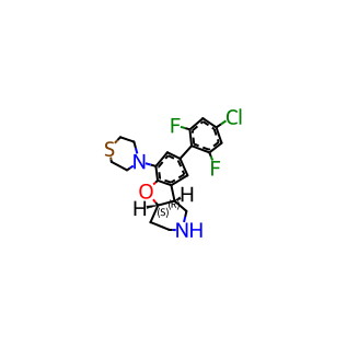 Fc1cc(Cl)cc(F)c1-c1cc2c(c(N3CCSCC3)c1)O[C@H]1CCNC[C@@H]21